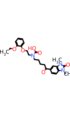 CCOc1ccccc1OCCN(CCCCC(=O)c1ccc2c(c1)n(C)c(=O)n2C)C(=O)O